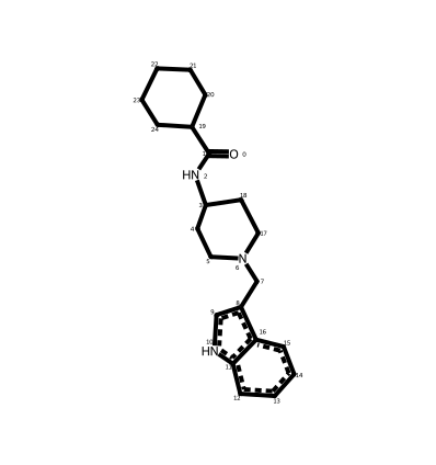 O=C(NC1CCN(Cc2c[nH]c3ccccc23)CC1)C1CCCCC1